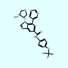 O=C(Nc1ccc(OC(F)(F)Cl)cc1)c1cc(-c2cncnc2)c2c(c1)ncn2[C@H]1COC[C@H]1O